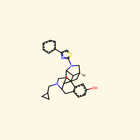 Oc1ccc2c(c1)C13CCN(CC4CC4)C(C2)C12CCC1C3[C@@H](CN1c1nc(-c3ccccc3)cs1)C2